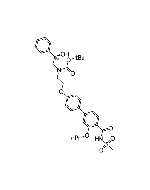 CCCOc1cc(-c2ccc(OCCN(C[C@H](O)c3ccccc3)C(=O)OC(C)(C)C)cc2)ccc1C(=O)NS(C)(=O)=O